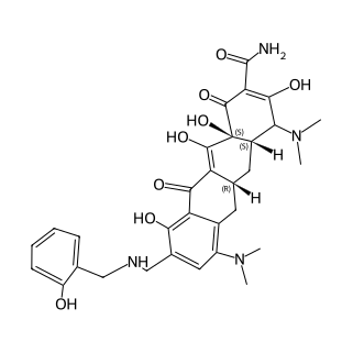 CN(C)c1cc(CNCc2ccccc2O)c(O)c2c1C[C@H]1C[C@H]3C(N(C)C)C(O)=C(C(N)=O)C(=O)[C@@]3(O)C(O)=C1C2=O